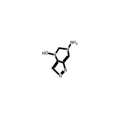 NN1C=C2N=NC=C2N(O)C1